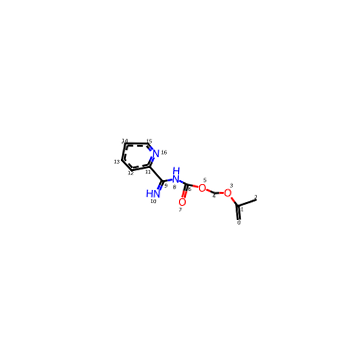 C=C(C)OCOC(=O)NC(=N)c1cc[c]cn1